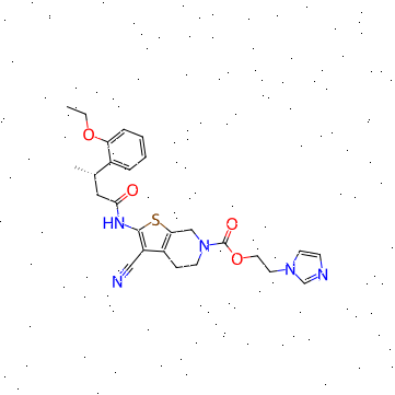 CCOc1ccccc1[C@@H](C)CC(=O)Nc1sc2c(c1C#N)CCN(C(=O)OCCn1ccnc1)C2